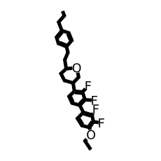 CCCc1ccc(CCC2CCC(c3ccc(-c4ccc(OCC)c(F)c4F)c(F)c3F)CO2)cc1